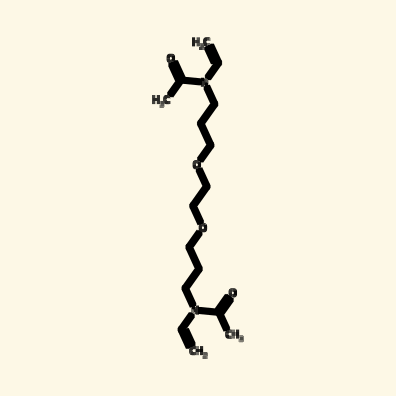 C=CN(CCCOCCOCCCN(C=C)C(C)=O)C(C)=O